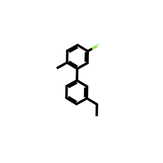 CCc1cccc(-c2cc(F)ccc2C)c1